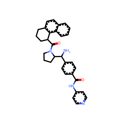 NC(c1ccc(C(=O)Nc2ccncc2)cc1)C1CCCN1C(=O)C1CCCc2ccc3ccccc3c21